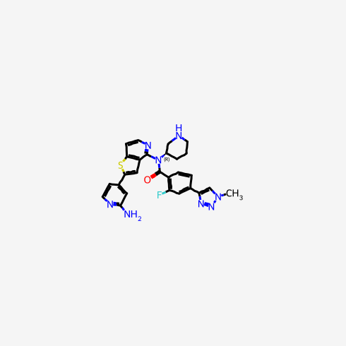 Cn1cc(-c2ccc(C(=O)N(c3nccc4sc(-c5ccnc(N)c5)cc34)[C@@H]3CCCNC3)c(F)c2)nn1